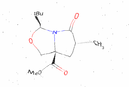 COC(=O)[C@@]12CO[C@@H](C(C)(C)C)N1C(=O)[C@H](C)C2